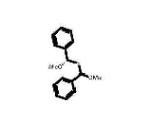 COC(S[C@H](OC)c1ccccc1)c1ccccc1